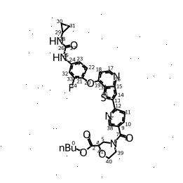 CCCCOC(=O)C1CN(C(=O)c2ccc(-c3cc4nccc(Oc5ccc(NC(=O)NC6CC6)cc5F)c4s3)nc2)CCO1